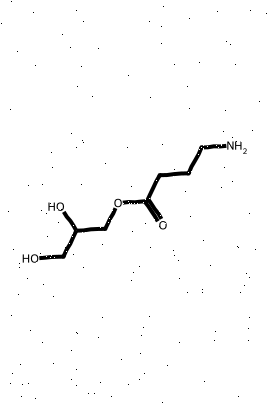 NCCCC(=O)OCC(O)CO